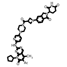 CC(=O)c1c(C)c2cnc(Nc3ccc(N4CCN(C(=O)C5CN(c6ccc7c(c6)CN(C6CCC(=O)NC6=O)C7=O)C5)CC4)cn3)nc2n(C2CCCC2)c1=O